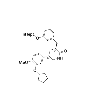 CCCCCCCOc1cccc(C[C@@H]2C[C@@H](c3ccc(OC)c(OC4CCCC4)c3)CNC2=O)c1